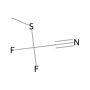 CSC(F)(F)C#N